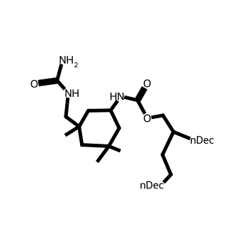 CCCCCCCCCCCCC(CCCCCCCCCC)COC(=O)NC1CC(C)(C)CC(C)(CNC(N)=O)C1